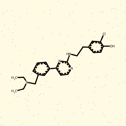 CCN(CC)Cc1cccc(-c2ccnc(NCCc3ccc(O)c(Cl)c3)n2)c1